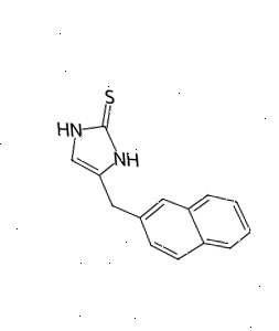 S=c1[nH]cc(Cc2ccc3ccccc3c2)[nH]1